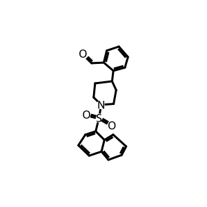 O=Cc1ccccc1C1CCN(S(=O)(=O)c2cccc3ccccc23)CC1